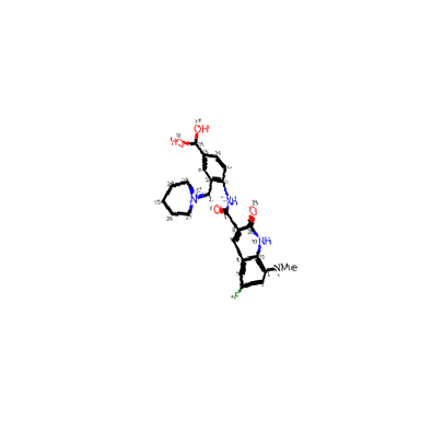 CNc1cc(F)cc2cc(C(=O)Nc3ccc(C(O)O)cc3CN3CCCCC3)c(=O)[nH]c12